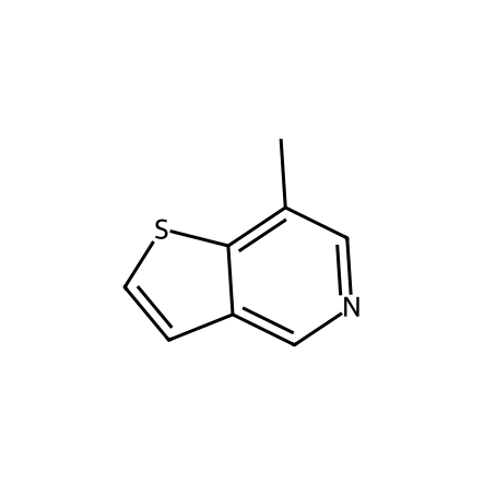 Cc1cncc2ccsc12